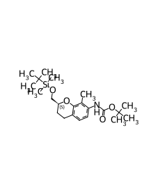 Cc1c(NC(=O)OC(C)(C)C)ccc2c1O[C@H](CO[Si](C)(C)C(C)(C)C)CC2